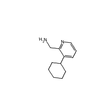 NCc1ncccc1C1CCCCC1